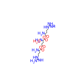 N=C(N)NCCC[C@@H](N)C(=O)OC(=O)CC[C@@H](N)C(=O)OC(=O)[C@H](N)CCCNC(=N)N.O